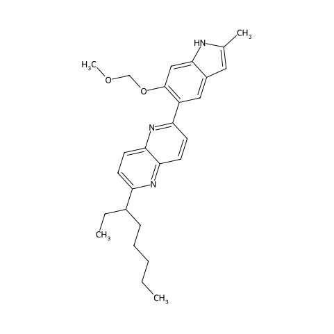 CCCCCC(CC)c1ccc2nc(-c3cc4cc(C)[nH]c4cc3OCOC)ccc2n1